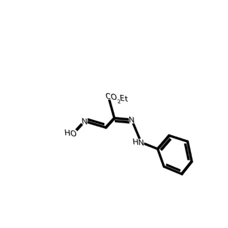 CCOC(=O)C(/C=N/O)=N/Nc1ccccc1